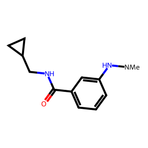 CNNc1cccc(C(=O)NCC2CC2)c1